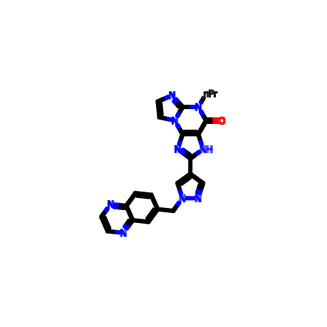 CCCn1c(=O)c2[nH]c(-c3cnn(Cc4ccc5nccnc5c4)c3)nc2n2ccnc12